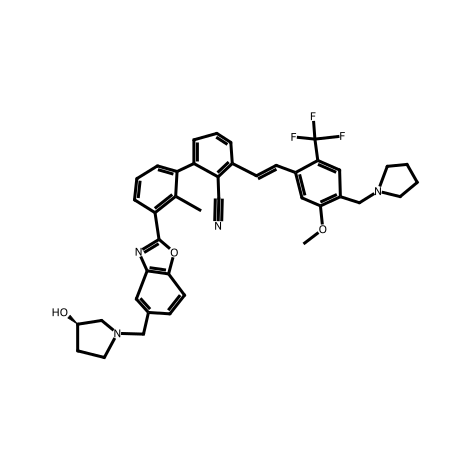 COc1cc(/C=C/c2cccc(-c3cccc(-c4nc5cc(CN6CC[C@@H](O)C6)ccc5o4)c3C)c2C#N)c(C(F)(F)F)cc1CN1CCCC1